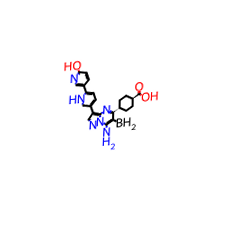 Bc1c(N)n2ncc(C3=CC=C(c4ccc(O)nc4)NC3)c2nc1[C@H]1CC[C@H](C(=O)O)CC1